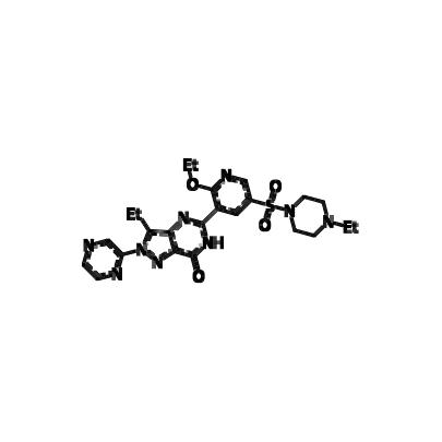 CCOc1ncc(S(=O)(=O)N2CCN(CC)CC2)cc1-c1nc2c(CC)n(-c3cnccn3)nc2c(=O)[nH]1